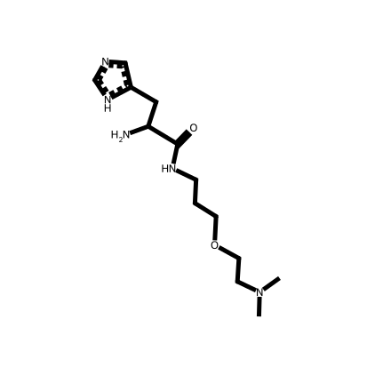 CN(C)CCOCCCNC(=O)C(N)Cc1cnc[nH]1